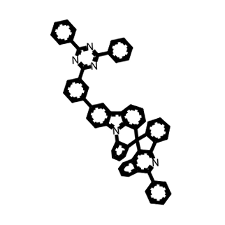 c1ccc(-c2nc(-c3ccccc3)nc(-c3cccc(-c4ccc5c(c4)c4cccc6c4n5-c4ccccc4C64c5ccccc5-c5nc(-c6ccccc6)c6ccccc6c54)c3)n2)cc1